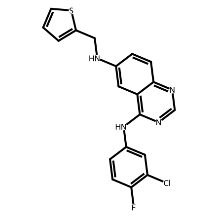 Fc1ccc(Nc2ncnc3ccc(NCc4cccs4)cc23)cc1Cl